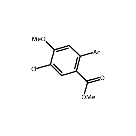 COC(=O)c1cc(Cl)c(OC)cc1C(C)=O